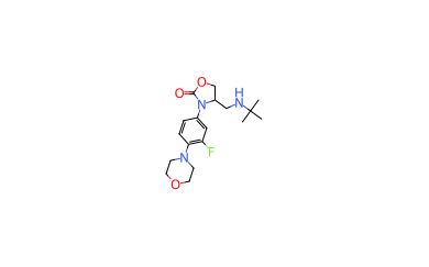 CC(C)(C)NCC1COC(=O)N1c1ccc(N2CCOCC2)c(F)c1